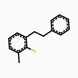 Cc1cccc(CCc2ccccc2)c1F